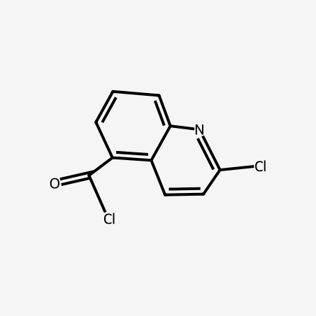 O=C(Cl)c1cccc2nc(Cl)ccc12